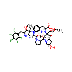 CCCCC(C)(N[C@@H](Cc1ccccc1)C(=O)O)C(=O)[C@@H]1C[C@@H](O)CN1C(=O)C1CCCN1C(=O)CNC(CC)(CC)C(=O)[C@@H](N)Cc1c(F)c(F)c(F)c(F)c1F